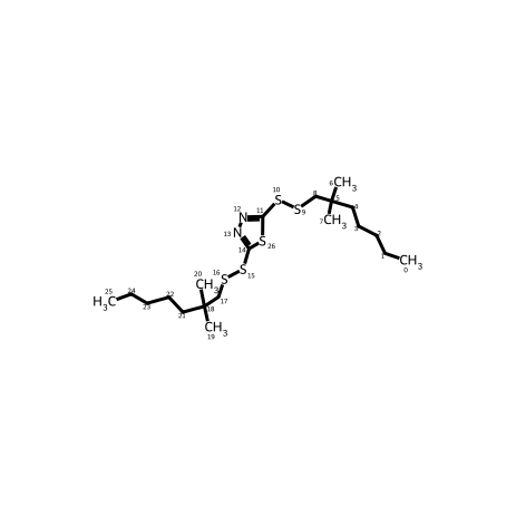 CCCCCC(C)(C)CSSc1nnc(SSCC(C)(C)CCCCC)s1